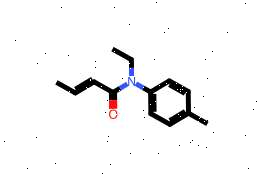 C/C=C/C(=O)N(CC)c1ccc(C)cc1